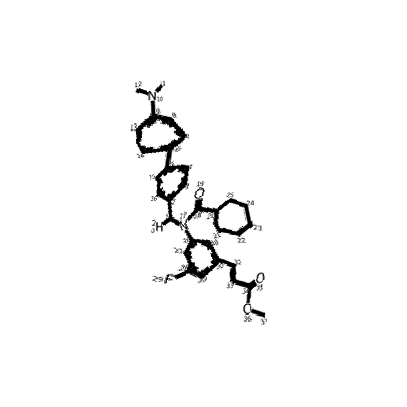 [2H]C(c1ccc(-c2ccc(N(C)C)cc2)cc1)N(C(=O)C1CCCCC1)c1cc(F)cc(/C=C/C(=O)OC)c1